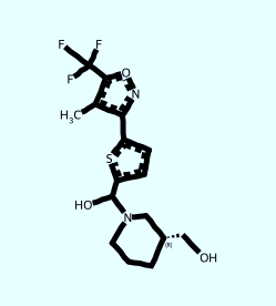 Cc1c(-c2ccc(C(O)N3CCC[C@@H](CO)C3)s2)noc1C(F)(F)F